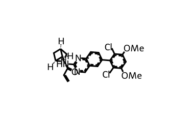 C=CC(=O)N1C[C@@H]2C[C@H]1[C@@H]2Nc1ncc2cc(-c3c(Cl)c(OC)cc(OC)c3Cl)ccc2n1